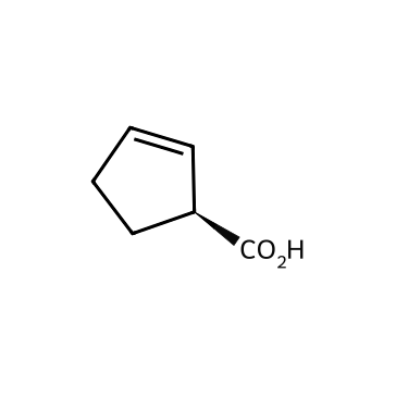 O=C(O)[C@@H]1C=CCC1